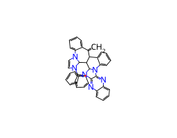 C=C1c2ccccc2N2C=CN(c3ccccc3)C2C2C1c1ccccc1N1c3nc4ccccc4nc3N(c3ccccc3)C21